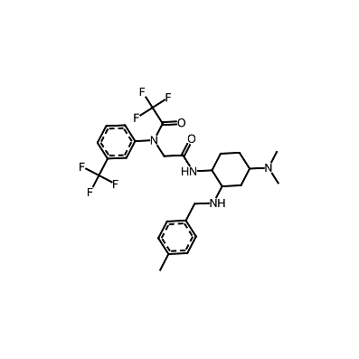 Cc1ccc(CNC2CC(N(C)C)CCC2NC(=O)CN(C(=O)C(F)(F)F)c2cccc(C(F)(F)F)c2)cc1